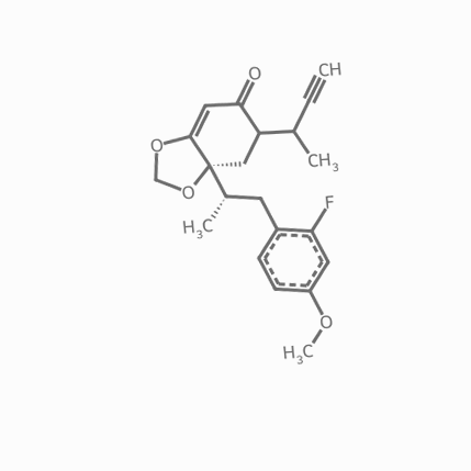 C#CC(C)C1C[C@]2([C@@H](C)Cc3ccc(OC)cc3F)OCOC2=CC1=O